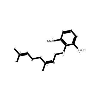 COc1cccc(C(=O)O)c1OCC=C(C)CCC=C(C)C